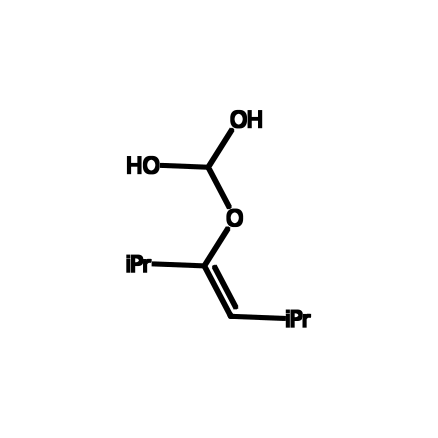 CC(C)C=C(OC(O)O)C(C)C